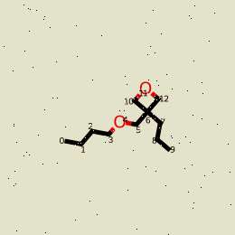 CCCCOCC1(CCC)COC1